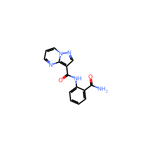 NC(=O)c1ccccc1NC(=O)c1cnn2cccnc12